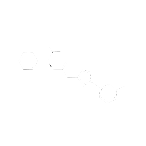 O=C(Cc1csc(-c2cccc(Cl)c2)n1)N[C@H](C(=O)O)c1ccccc1